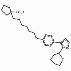 O=C(O)C1(CCCCCCOc2ccc(-c3ccnn3C3CCCCO3)nc2)CCCC1